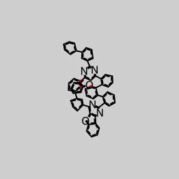 c1ccc(-c2cccc(-c3nc(-c4ccccc4-c4ccccc4-c4ccccc4-c4nc(-c5cccc(-c6ccccc6)c5)c5oc6ccccc6c5n4)c4oc5ccccc5c4n3)c2)cc1